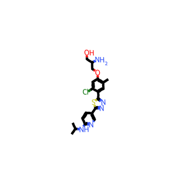 Cc1cc(-c2nnc(-c3ccc(NC(C)C)nc3)s2)c(Cl)cc1OCC(N)CO